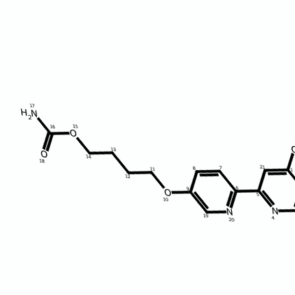 N#Cc1ccnc(-c2ccc(OCCCCOC(N)=O)cn2)c1